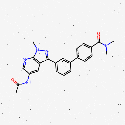 CC(=O)Nc1cnc2c(c1)c(-c1cccc(-c3ccc(C(=O)N(C)C)cc3)c1)nn2C